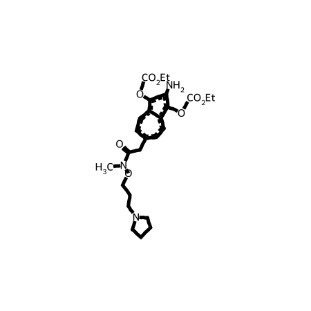 CCOC(=O)Oc1c2ccc(CC(=O)N(C)OCCCN3CCCC3)ccc-2c(OC(=O)OCC)c1N